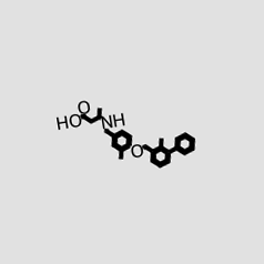 Cc1cc(CNC(C)CC(=O)O)ccc1OCc1cccc(-c2ccccc2)c1C